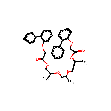 CC(COC(=O)COc1ccccc1-c1ccccc1)OCC(C)OCC(C)OC(=O)COc1ccccc1-c1ccccc1